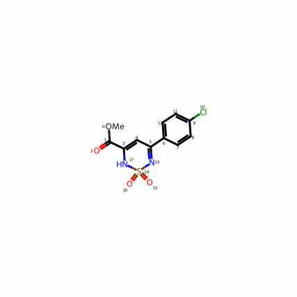 COC(=O)C1=CC(c2ccc(Cl)cc2)=NS(=O)(=O)N1